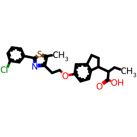 CCC(C(=O)O)C1CCc2cc(OCCc3nc(-c4cccc(Cl)c4)sc3C)ccc21